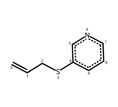 C=CCSc1[c]nccc1